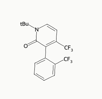 CC(C)(C)n1ccc(C(F)(F)F)c(-c2ccccc2C(F)(F)F)c1=O